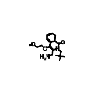 COCCOc1c(CN)n(CC(C)(C)C)c(=O)c2ccccc12